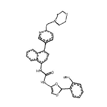 CC(C)(C)c1ccccc1C1OC=C(NC(=O)Nc2ccc(-c3ccc(CN4CCOCC4)nc3)c3ccccc23)O1